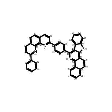 c1ccc(-c2ccc3ccc4ccc(-c5ccc(-c6nc7c8ccccc8ccc7c7sc8ccccc8c67)cc5)nc4c3n2)cc1